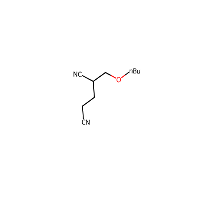 CCCCOCC(C#N)CCC#N